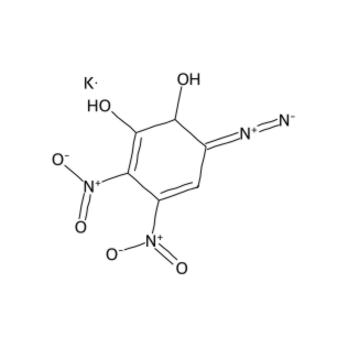 [K].[N-]=[N+]=C1C=C([N+](=O)[O-])C([N+](=O)[O-])=C(O)C1O